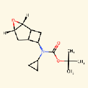 CC(C)(C)OC(=O)N(C1CC1)[C@@H]1CC2C1C[C@@H]1O[C@H]21